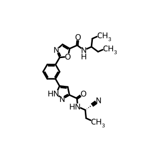 CCC(CC)NC(=O)c1cnc(-c2cccc(-c3cc(C(=O)N[C@H](C#N)CC)n[nH]3)c2)o1